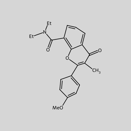 CCN(CC)C(=O)c1cccc2c(=O)c(C)c(-c3ccc(OC)cc3)oc12